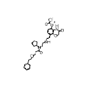 O=C1COc2c(CCNCCN(C(=O)CCOCCc3ccccc3)C3CCCC3)ccc(OC(=O)C(F)(F)F)c2N1